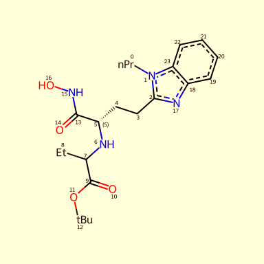 CCCn1c(CC[C@H](NC(CC)C(=O)OC(C)(C)C)C(=O)NO)nc2ccccc21